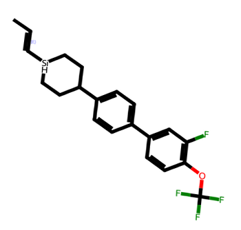 C/C=C/[SiH]1CCC(c2ccc(-c3ccc(OC(F)(F)F)c(F)c3)cc2)CC1